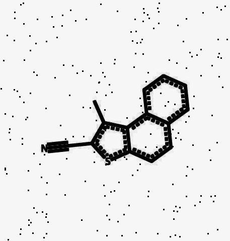 Cc1c(C#N)sc2ccc3ccccc3c12